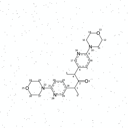 CC(C(=O)C(C)c1ccc(N2CCOCC2)nc1)c1ccc(N2CCOCC2)nc1